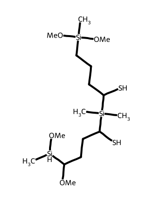 COC(CCC(S)[Si](C)(C)C(S)CCC[Si](C)(OC)OC)[SiH](C)OC